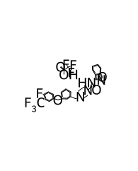 O=C(Nc1noc2ccccc12)N1CCN(Cc2cccc(Oc3ccc(F)c(C(F)(F)F)c3)c2)CC1.O=C(O)C(F)(F)F